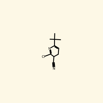 CC(C)(C)C1=CCC(C#N)C(Cl)=N1